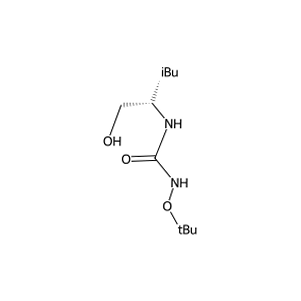 CC[C@@H](C)[C@@H](CO)NC(=O)NOC(C)(C)C